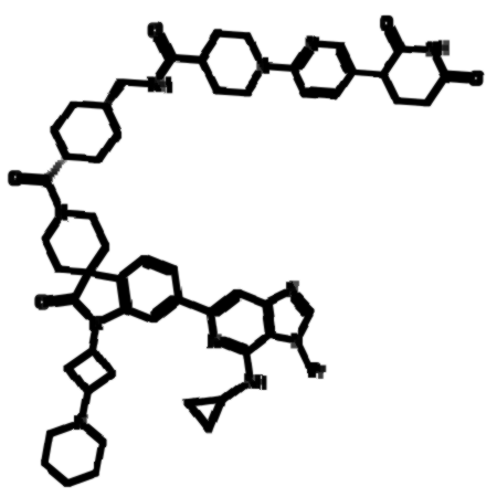 CC(C)n1cnc2cc(-c3ccc4c(c3)N(C3CC(N5CCCCC5)C3)C(=O)C43CCN(C(=O)[C@H]4CC[C@H](CNC(=O)C5CCN(c6ccc(C7CCC(=O)NC7=O)cn6)CC5)CC4)CC3)nc(NC3CC3)c21